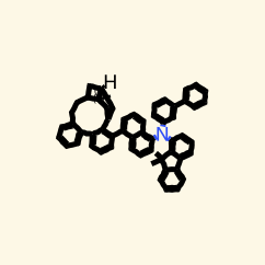 CC1(C)c2ccccc2-c2cccc(N(c3cccc(-c4ccccc4)c3)c3cccc4c(-c5cccc6c5C5C[C@H]7CC(CCc8ccccc8-6)[C@@]7(C)C5)cccc34)c21